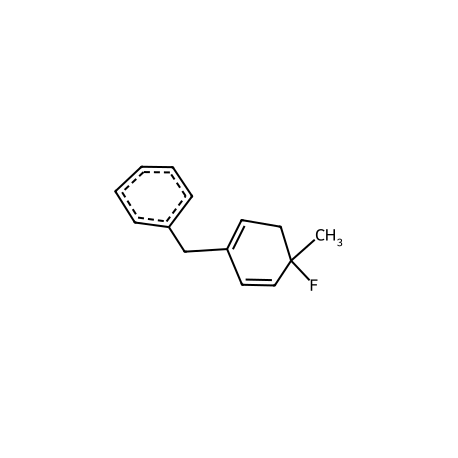 CC1(F)C=CC(Cc2ccccc2)=CC1